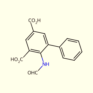 O=CNc1c(C(=O)O)cc(C(=O)O)cc1-c1ccccc1